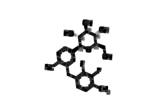 Cc1ccc(Cc2cc([C@@H]3O[C@H](CO)[C@@H](O)[C@H](O)[C@H]3O)ccc2C#N)c(F)c1F